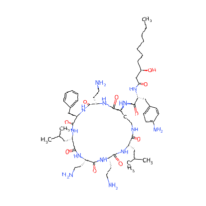 CCCCCCC[C@@H](O)CC(=O)N[C@H](Cc1ccc(N)cc1)C(=O)N[C@H]1CCNC(=O)[C@H](CC(C)C)NC(=O)[C@H](CCN)NC(=O)[C@H](CCN)NC(=O)[C@H](CC(C)C)NC(=O)[C@@H](Cc2ccccc2)NC(=O)[C@H](CCN)NC1=O